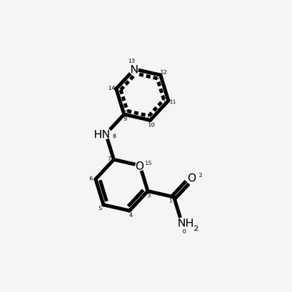 NC(=O)C1=CC=CC(Nc2cccnc2)O1